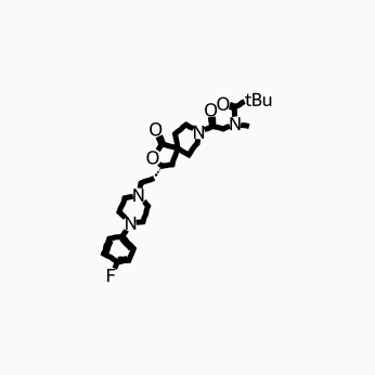 CN(CC(=O)N1CCC2(CC1)C[C@H](CCN1CCN(c3ccc(F)cc3)CC1)OC2=O)C(=O)C(C)(C)C